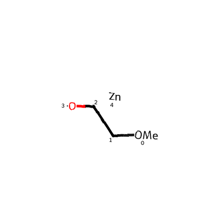 COCC[O].[Zn]